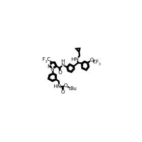 CC(C)(C)OC(=O)NCc1cccc(-n2nc(C(F)(F)F)cc2C(=O)Nc2cccc(C(NCC3CC3)c3cccc(OC(F)(F)F)c3)c2)c1